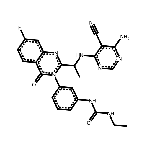 CCNC(=O)Nc1cccc(-n2c(C(C)Nc3ncnc(N)c3C#N)nc3cc(F)ccc3c2=O)c1